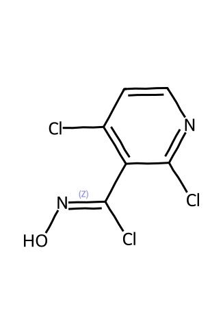 O/N=C(\Cl)c1c(Cl)ccnc1Cl